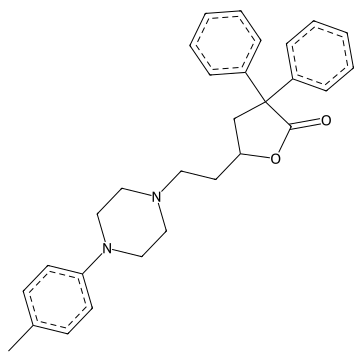 Cc1ccc(N2CCN(CCC3CC(c4ccccc4)(c4ccccc4)C(=O)O3)CC2)cc1